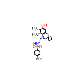 CCCc1ccc(S(=O)(=O)NCCN2CC3(CCC3)Cc3cc(O)c(C)c(C)c32)cc1